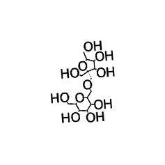 OCC1OC(COC[C@]2(CO)OC(CO)[C@H](O)[C@H]2O)[C@@H](O)[C@H](O)[C@@H]1O